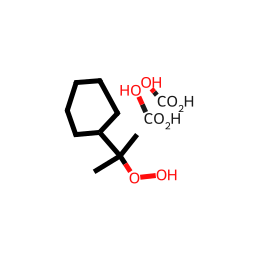 CC(C)(OO)C1CCCCC1.O=C(O)O.O=C(O)O